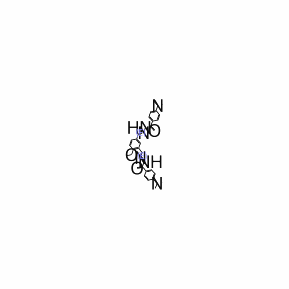 COc1ccc(/C=N/NC(=O)c2ccc(N(C)C)cc2)cc1/C=N/NC(=O)c1ccc(N(C)C)cc1